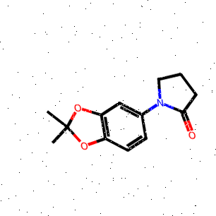 CC1(C)Oc2ccc(N3CCCC3=O)cc2O1